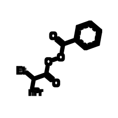 CCCC(CC)C(=O)OOC(=O)c1ccccc1